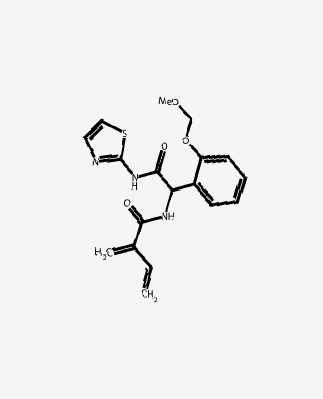 C=CC(=C)C(=O)NC(C(=O)Nc1nccs1)c1ccccc1OCOC